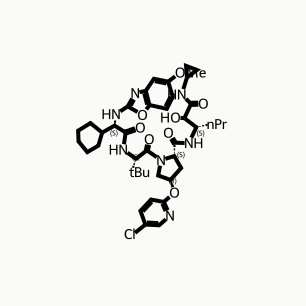 CCC[C@H](NC(=O)[C@@H]1C[C@@H](Oc2ccc(Cl)cn2)CN1C(=O)[C@@H](NC(=O)[C@@H](Nc1nc2cc(OC)ccc2o1)C1CCCCC1)C(C)(C)C)C(O)C(=O)NC1CC1